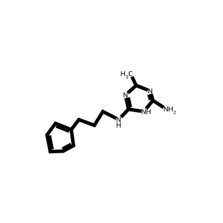 CC1N=C(N)NC(NCCCc2ccccc2)=N1